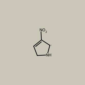 O=[N+]([O-])C1=CCN[C]1